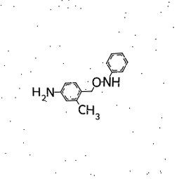 Cc1cc(N)ccc1CONc1ccccc1